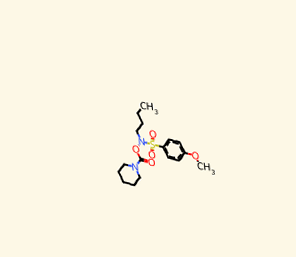 CCCCN(OC(=O)N1CCCCC1)S(=O)(=O)c1ccc(OC)cc1